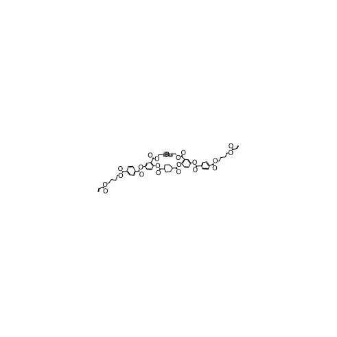 C=CC(=O)OCCCCOC(=O)c1ccc(C(=O)Oc2ccc(OC(=O)C3CCC(C(=O)Oc4ccc(OC(=O)c5ccc(C(=O)OCCCCOC(=O)C=C)cc5)cc4C(=O)OCC(C)CC)CC3)c(C(=O)OCC(C)CC)c2)cc1